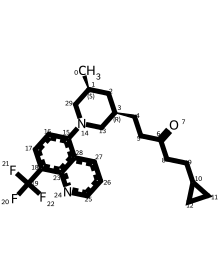 C[C@H]1C[C@@H](CCC(=O)CCC2CC2)CN(c2ccc(C(F)(F)F)c3ncccc23)C1